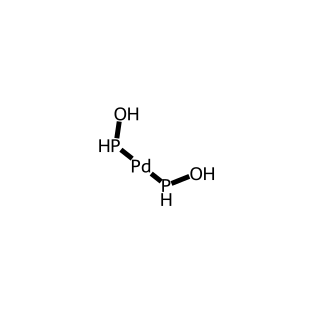 O[PH][Pd][PH]O